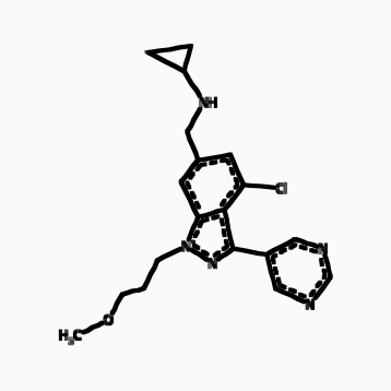 COCCCn1nc(-c2cncnc2)c2c(Cl)cc(CNC3CC3)cc21